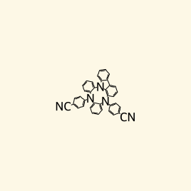 N#Cc1ccc(N2c3ccccc3N(c3ccc(C#N)cc3)c3cccc4c5ccccc5n(c34)-c3ccccc32)cc1